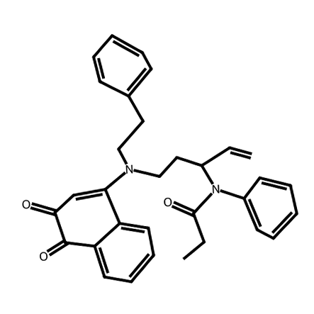 C=CC(CCN(CCc1ccccc1)C1=CC(=O)C(=O)c2ccccc21)N(C(=O)CC)c1ccccc1